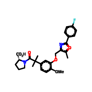 COc1ccc(C(C)(C)C(=O)N2CCC[C@@H]2C(=O)O)cc1OCc1nc(-c2ccc(F)cc2)oc1C